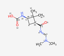 CN(C)C=NC(=O)[C@H]1C[C@@H](NC(=O)O)C1(C)C